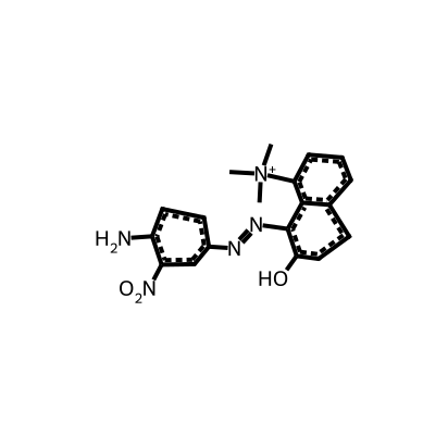 C[N+](C)(C)c1cccc2ccc(O)c(N=Nc3ccc(N)c([N+](=O)[O-])c3)c12